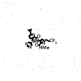 CNC(=O)c1nn(CCC(F)(F)F)cc1NC(=O)c1nc(C2CC2)ccc1Nc1cncnc1